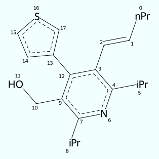 CCCC=Cc1c(C(C)C)nc(C(C)C)c(CO)c1-c1ccsc1